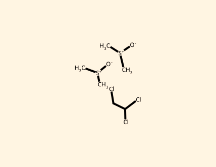 C[S+](C)[O-].C[S+](C)[O-].ClCC(Cl)Cl